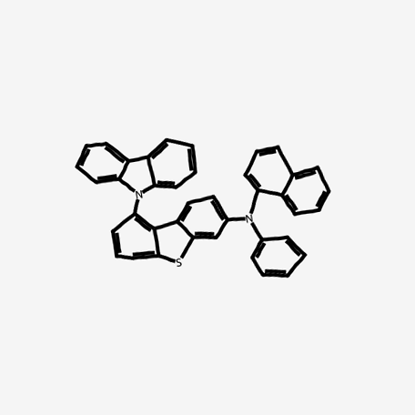 c1ccc(N(c2ccc3c(c2)sc2cccc(-n4c5ccccc5c5ccccc54)c23)c2cccc3ccccc23)cc1